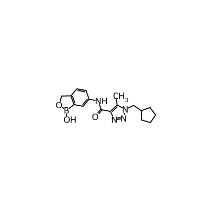 Cc1c(C(=O)Nc2ccc3c(c2)B(O)OC3)nnn1CC1CCCC1